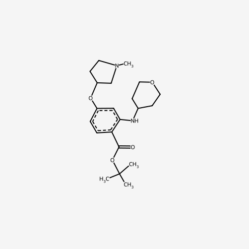 CN1CCC(Oc2ccc(C(=O)OC(C)(C)C)c(NC3CCOCC3)c2)C1